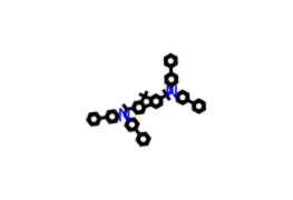 CC(c1ccc2c(c1)C(C)(C)c1cc(C(C)(C)N(c3ccc(-c4ccccc4)cc3)c3ccc(-c4ccccc4)cc3)ccc1-2)N(c1ccc(-c2ccccc2)cc1)c1ccc(-c2ccccc2)cc1